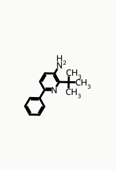 CC(C)(C)c1nc(-c2ccccc2)ccc1N